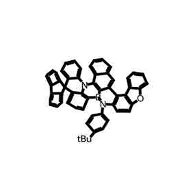 CC(C)(C)c1ccc(N2B3c4cccc5c4N(c4ccccc4C54c5ccccc5-c5ccccc54)c4c3c(cc3ccccc43)-c3c2ccc2oc4ccccc4c32)cc1